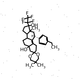 CCc1ccc([C@H]2CC3(C)C(CCC3(O)C(F)(F)C(F)(F)F)C3CCC4(O)CC5(CCC4=C32)OCC(C)(C)CO5)cc1